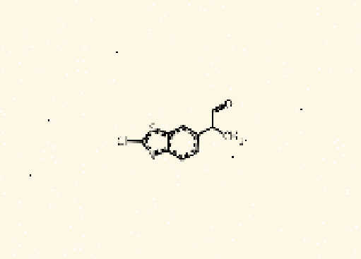 CC(C=O)c1ccc2nc(Cl)sc2c1